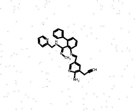 C#CCc1cc(/C=N/c2cccc(-c3ccccc3)c2/C(=N\C)NCc2ccccn2)cnc1N